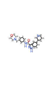 O=C(Nc1cccc(CN2CCOCC2)c1)c1n[nH]c2ccc(-c3cccnc3)cc12